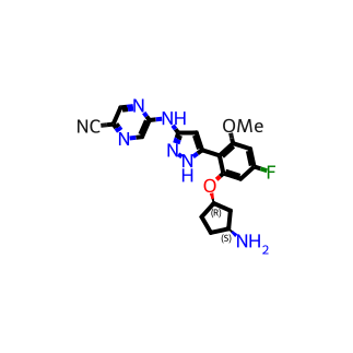 COc1cc(F)cc(O[C@@H]2CC[C@H](N)C2)c1-c1cc(Nc2cnc(C#N)cn2)n[nH]1